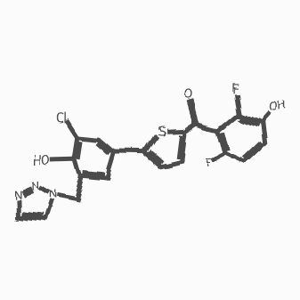 O=C(c1ccc(-c2cc(Cl)c(O)c(Cn3ccnn3)c2)s1)c1c(F)ccc(O)c1F